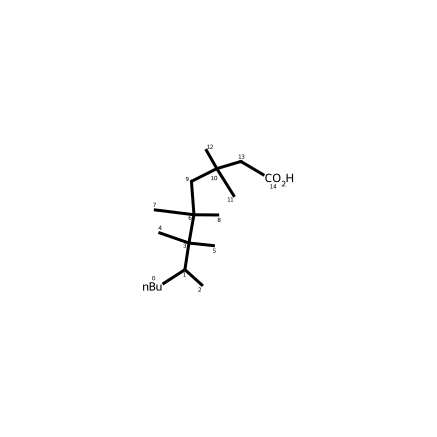 CCCCC(C)C(C)(C)C(C)(C)CC(C)(C)CC(=O)O